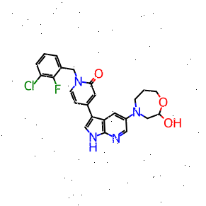 O=c1cc(-c2c[nH]c3ncc(N4CCCOC(O)C4)cc23)ccn1Cc1cccc(Cl)c1F